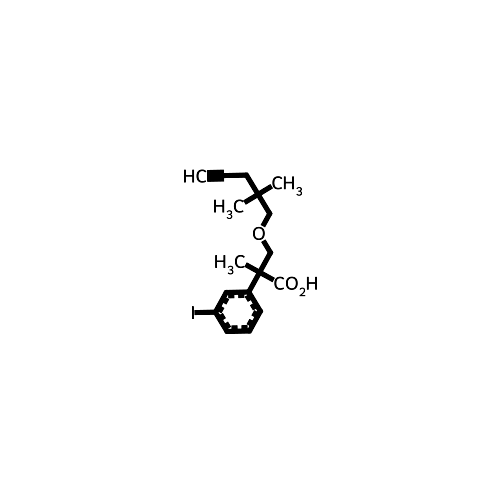 C#CCC(C)(C)COCC(C)(C(=O)O)c1cccc(I)c1